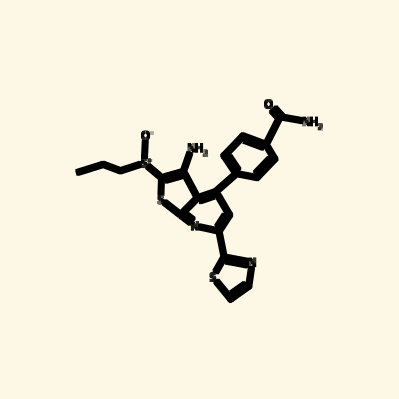 CCC[S+]([O-])c1sc2nc(-c3nccs3)cc(-c3ccc(C(N)=O)cc3)c2c1N